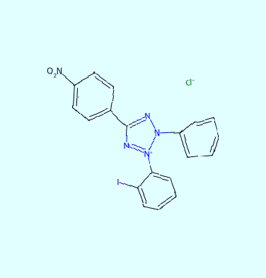 O=[N+]([O-])c1ccc(-c2nn(-c3ccccc3)[n+](-c3ccccc3I)n2)cc1.[Cl-]